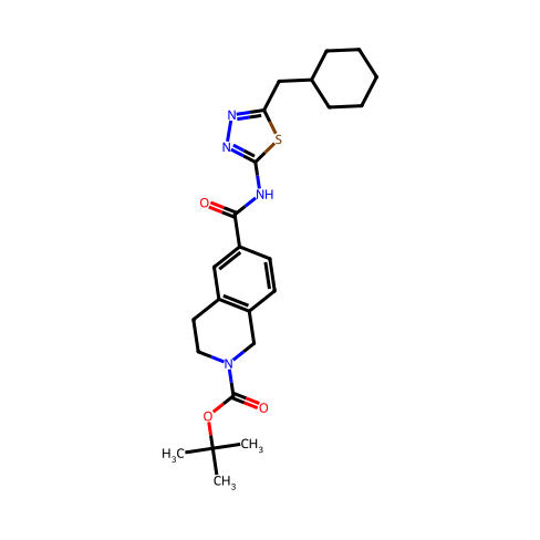 CC(C)(C)OC(=O)N1CCc2cc(C(=O)Nc3nnc(CC4CCCCC4)s3)ccc2C1